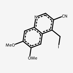 COc1cc2ncc(C#N)c(CI)c2cc1OC